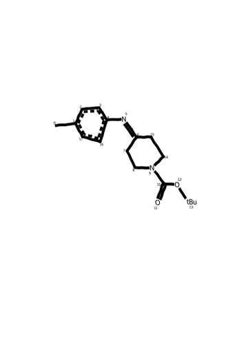 Cc1ccc(N=C2CCN(C(=O)OC(C)(C)C)CC2)cc1